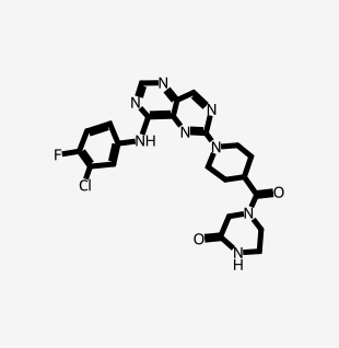 O=C1CN(C(=O)C2CCN(c3ncc4ncnc(Nc5ccc(F)c(Cl)c5)c4n3)CC2)CCN1